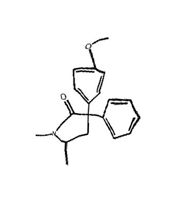 COc1ccc(C2(c3ccccc3)CC(C)N(C)C2=O)cc1